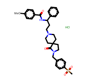 COc1ccc(C(=O)NC(CCN2CCC3(CC2)CCN(Cc2ccc(S(C)(=O)=O)cc2)C3=O)c2ccccc2)cc1.Cl